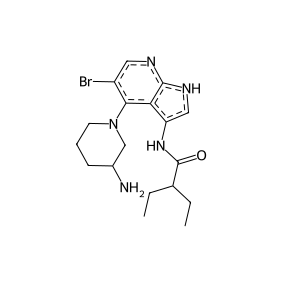 CCC(CC)C(=O)Nc1c[nH]c2ncc(Br)c(N3CCCC(N)C3)c12